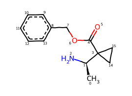 C[C@@H](N)C1(C(=O)OCc2ccccc2)CC1